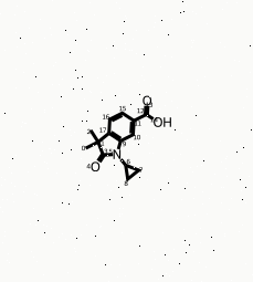 CC1(C)C(=O)N(C2CC2)c2cc(C(=O)O)ccc21